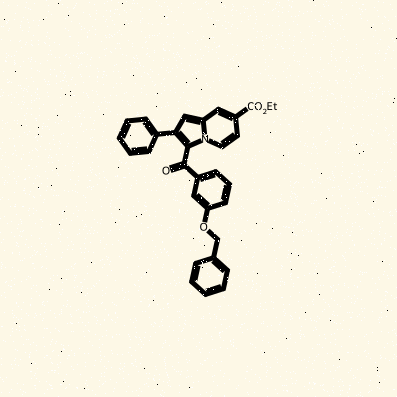 CCOC(=O)c1ccn2c(C(=O)c3cccc(OCc4ccccc4)c3)c(-c3ccccc3)cc2c1